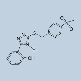 CCn1c(SCc2ccc(S(C)(=O)=O)cc2)nnc1-c1ccccc1O